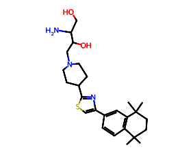 CC1(C)CCC(C)(C)c2cc(-c3csc(C4CCN(CC(O)C(N)CO)CC4)n3)ccc21